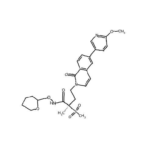 COc1ccc(-c2ccc3c(=O)n(CC[C@](C)(C(=O)NOC4CCCCO4)S(C)(=O)=O)ccc3c2)cn1